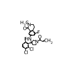 C=CC(=O)N1CC[C@](Nc2cc(F)c3c(c2)C(=O)N(C)CC3)(c2c(F)ccc(Cl)c2Cl)C1